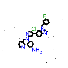 NC1CCC(N(Cc2cccnc2)c2cc(-c3ccc4ncn(Cc5cccc(F)c5)c4c3)c(Cl)cn2)CC1